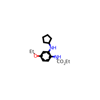 CCOC(=O)Nc1ccc(OCC)cc1NC1CCCC1